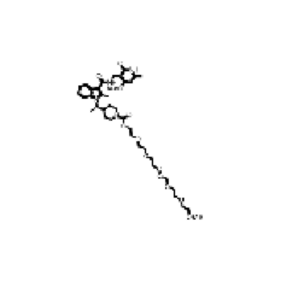 COCCOCCOCOOCCOCCOCCOC(=O)N1CCC([C@@H](C)n2c(C)c(C(=O)NCc3c(OC)cc(C)[nH]c3=O)c3ccccc32)CC1